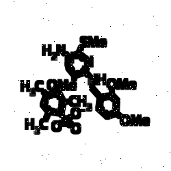 COc1ccc(CNc2nc(SC)[n+](N)cc2OC)c(OC)c1.Cc1cc(C)c(S(=O)(=O)[O-])c(C)c1